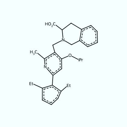 CCc1cccc(CC)c1-c1cc(OC(C)C)c(CN2Cc3ccccc3CC2C(=O)O)c(C)n1